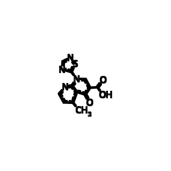 Cc1ccnc2c1c(=O)c(C(=O)O)cn2-c1ncns1